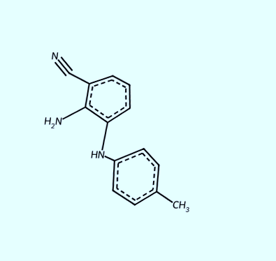 Cc1ccc(Nc2cccc(C#N)c2N)cc1